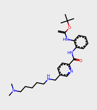 C=C(Nc1ccccc1NC(=O)c1ccc(CNCCCCCN(C)C)cn1)OC(C)(C)C